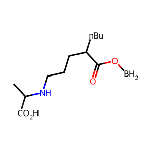 BOC(=O)C(CCCC)CCCNC(C)C(=O)O